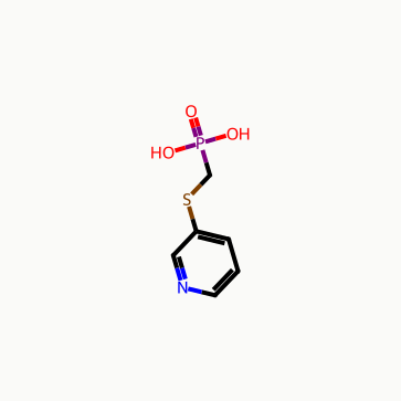 O=P(O)(O)CSc1cccnc1